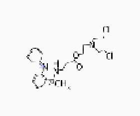 C[C@H](NCCC(=O)OCCN(CCCl)CCCl)c1ccccc1/N=C1/C=CC=CC1